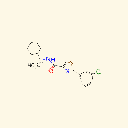 O=C(N[C@H](C(=O)O)C1CCCCC1)c1csc(-c2cccc(Cl)c2)n1